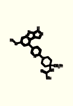 CCOC(=O)C1(NC(=O)C(C)(C)C)CCN(c2ccc(-c3cc(OCC)cn4nc5[nH]ncc5c34)cn2)CC1